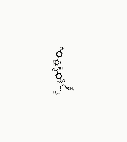 C=CCN(CC=C)S(=O)(=O)c1ccc(C(=O)Nc2nnc(-c3ccc(C)cc3)o2)cc1